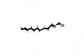 CCCCCCCCCCS[C]=O